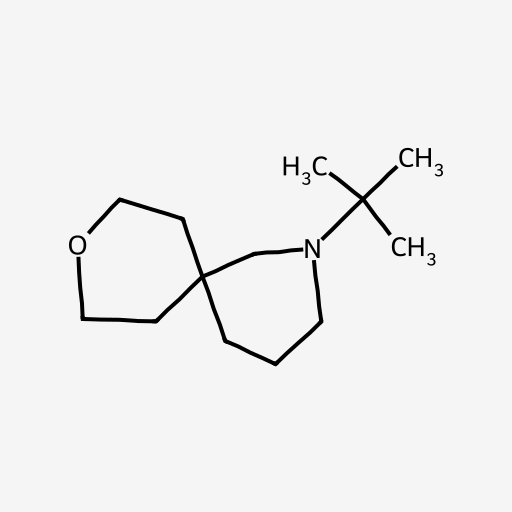 CC(C)(C)N1CCCC2(CCOCC2)C1